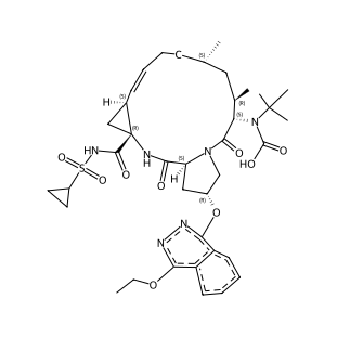 CCOc1nnc(O[C@@H]2C[C@H]3C(=O)N[C@]4(C(=O)NS(=O)(=O)C5CC5)C[C@H]4C=CCC[C@H](C)C[C@@H](C)[C@H](N(C(=O)O)C(C)(C)C)C(=O)N3C2)c2ccccc12